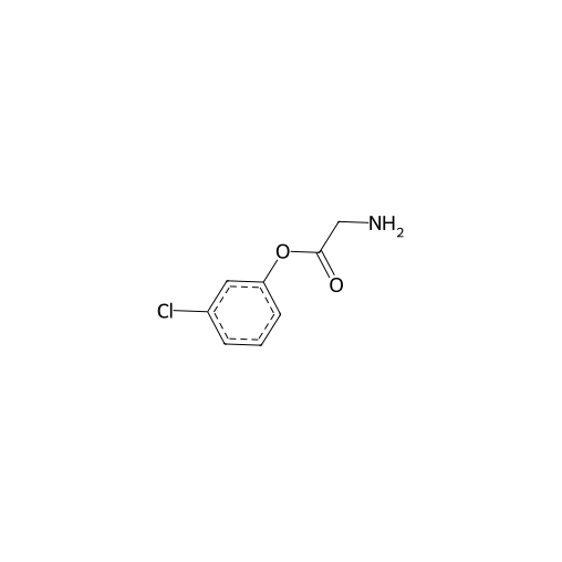 NCC(=O)Oc1cccc(Cl)c1